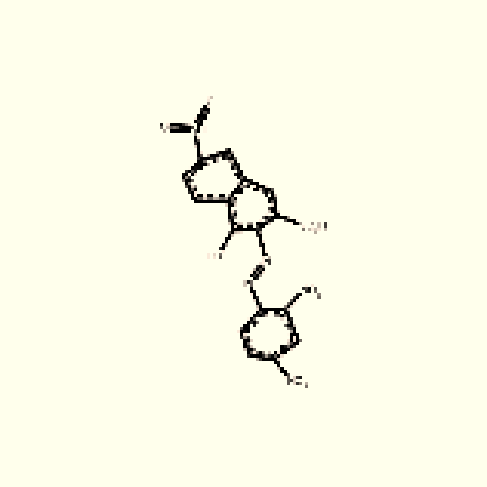 O=[N+]([O-])c1ccc(/N=N/c2c(S(=O)(=O)O)cc3cc([SH](=O)=O)ccc3c2O)c([N+](=O)[O-])c1